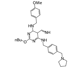 CCCCOC1=NC(NCc2ccc(OC)cc2)C(C=N)C(NCc2ccc(CN3CCCC3)cc2)=N1